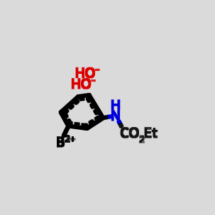 [B+2]c1cccc(NC(=O)OCC)c1.[OH-].[OH-]